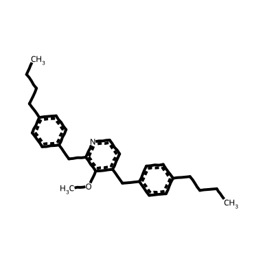 CCCCc1ccc(Cc2ccnc(Cc3ccc(CCCC)cc3)c2OC)cc1